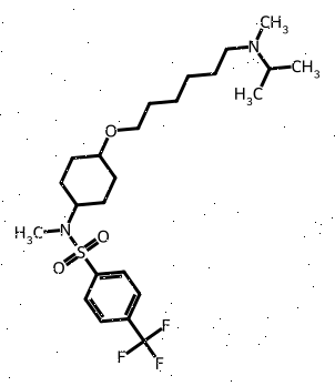 CC(C)N(C)CCCCCCOC1CCC(N(C)S(=O)(=O)c2ccc(C(F)(F)F)cc2)CC1